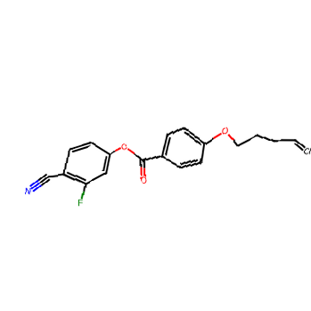 C=CCCCOc1ccc(C(=O)Oc2ccc(C#N)c(F)c2)cc1